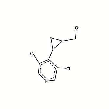 [O]CC1CC1c1c(Cl)cncc1Cl